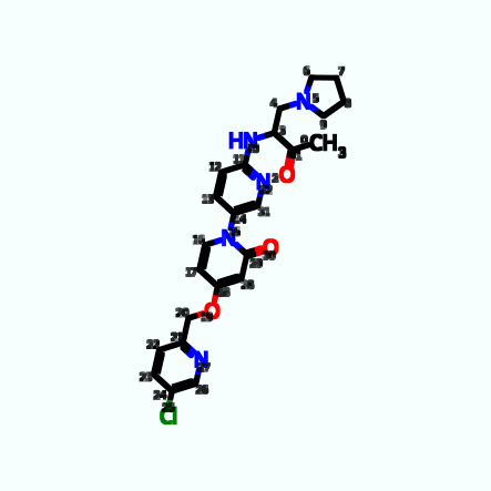 CC(=O)C(CN1CCCC1)Nc1ccc(-n2ccc(OCc3ccc(Cl)cn3)cc2=O)cn1